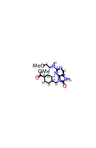 COCCN(C)c1ncc2c(n1)n(CC1CCC(C(=O)OC)CC1)c(=O)n2C